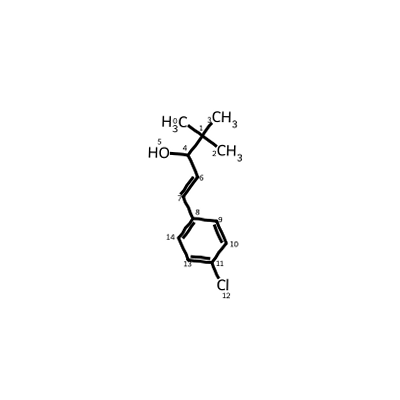 CC(C)(C)C(O)/C=C/c1ccc(Cl)cc1